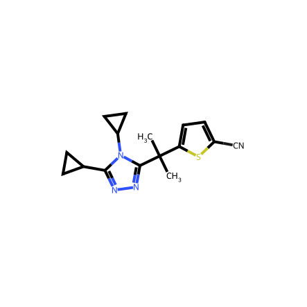 CC(C)(c1ccc(C#N)s1)c1nnc(C2CC2)n1C1CC1